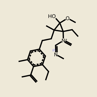 C=C(C)c1c(C)cc(CCC2(C)C(O)(OC)C2(CC)[N+](=C)/C=N\C)cc1CC